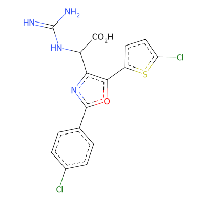 N=C(N)NC(C(=O)O)c1nc(-c2ccc(Cl)cc2)oc1-c1ccc(Cl)s1